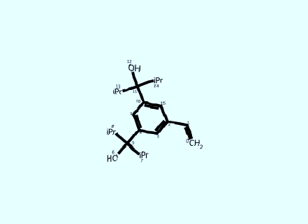 C=Cc1cc(C(O)(C(C)C)C(C)C)cc(C(O)(C(C)C)C(C)C)c1